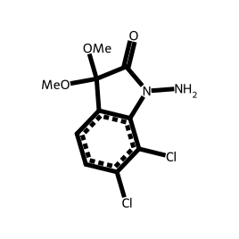 COC1(OC)C(=O)N(N)c2c1ccc(Cl)c2Cl